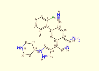 Cc1cccc(F)c1-c1cc2c(-c3cnn(C4CCNCC4)c3)cnc(N)c2cc1C#N